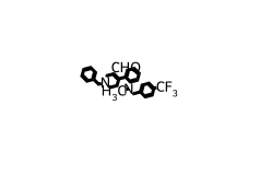 CN(Cc1ccc(C(F)(F)F)cc1)c1ccccc1C1=C(C=O)CN(Cc2ccccc2)CC1